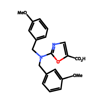 COc1cccc(CN(Cc2cccc(OC)c2)c2ncc(C(=O)O)o2)c1